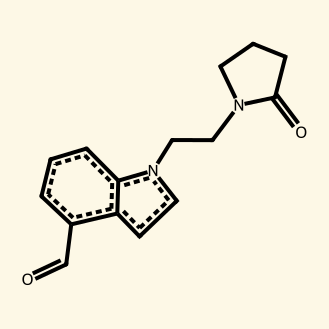 O=Cc1cccc2c1ccn2CCN1CCCC1=O